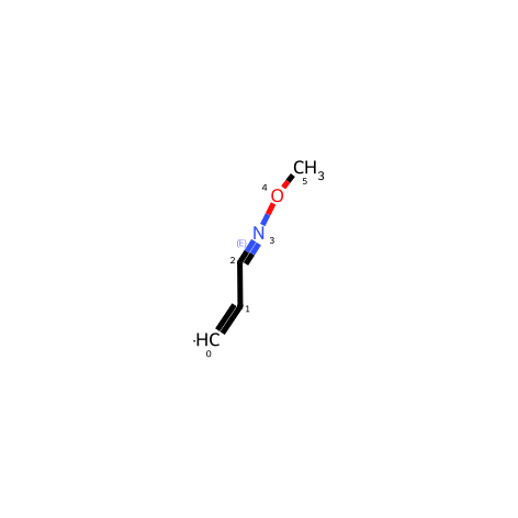 [CH]=C/C=N/OC